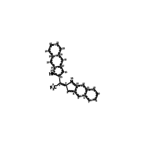 FC(F)(F)/C(=C1\C=c2cc3ccccc3cc2=N1)c1cc2cc3ccccc3cc2[nH]1